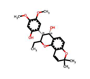 CCC1Oc2c(ccc3c2C=CC(C)(C)O3)[C@@H](O)[C@H]1c1cc(OC)c(OC)cc1O